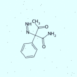 CC(=O)C(N=N)(C(N)=O)c1ccccc1